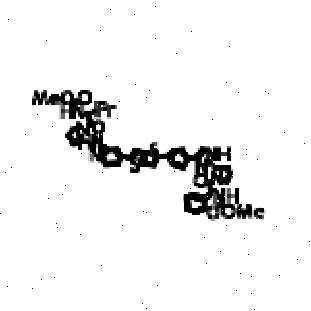 COC(=O)N[C@H](C(=O)N1CCC[C@H]1c1nc2ccc(-c3cc4sc(-c5ccc(-c6c[nH]c([C@@H]7CCCN7C(=O)[C@H](NC(=O)OC)c7ccccc7)n6)cc5)cc4s3)cc2[nH]1)C(C)C